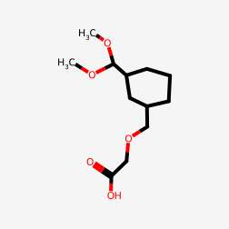 COC(OC)C1CCCC(COCC(=O)O)C1